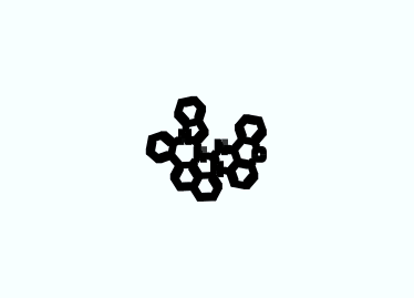 c1ccc2c(c1)Oc1cccc3nc(N4c5c(ccc6ccccc56)-c5ccccc5-n5c4cc4ccccc45)nc-2c13